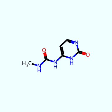 CNC(=O)Nc1ccnc(=O)[nH]1